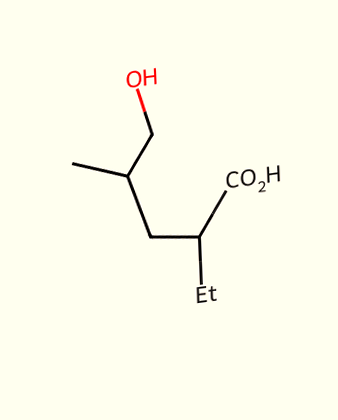 CCC(CC(C)CO)C(=O)O